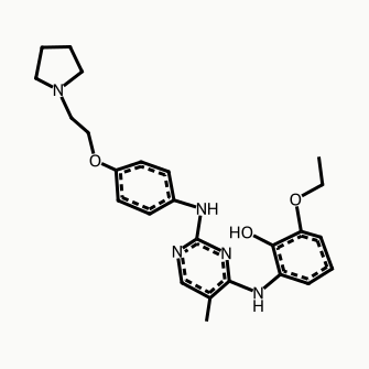 CCOc1cccc(Nc2nc(Nc3ccc(OCCN4CCCC4)cc3)ncc2C)c1O